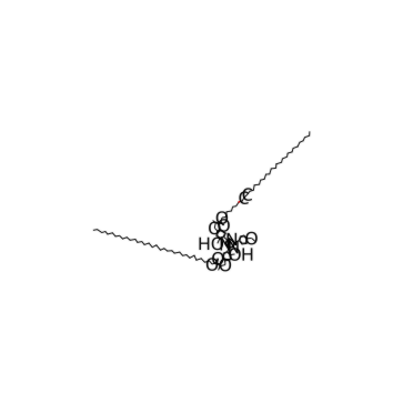 CCCCCCCCCCCCCCCCCCCCCCCCCCCCCCCCOC(=O)C(C)Oc1ccc(-c2nc(-c3ccc(OC)cc3)nc(-c3ccc(OC(C)C(=O)OCCCCCCCCCCCCCCCCCCCCCCCCCCCCCCCC)cc3O)n2)c(O)c1